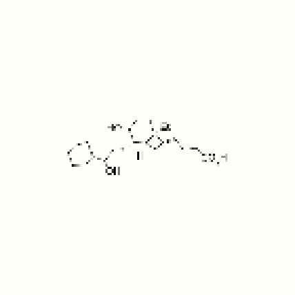 CC[C@@]12CC[C@H](O)[C@@H](C=CC(O)C3CCCCC3)[C@@H]1CC2=CCCC(=O)O